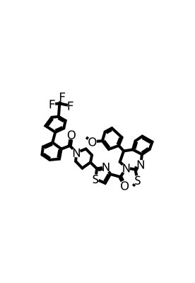 COc1cccc(C2CN(C(=O)c3csc(C4CCN(C(=O)c5ccccc5-c5ccc(C(F)(F)F)cc5)CC4)n3)C(SC)=Nc3ccccc32)c1